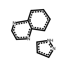 c1ccc2nccnc2c1.c1cn[nH]c1